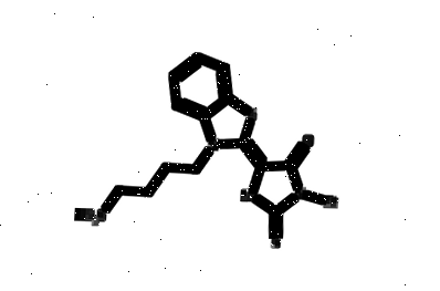 CCN1C(=O)C(=C2Sc3ccccc3N2CCCCS(=O)(=O)O)[Se]C1=S